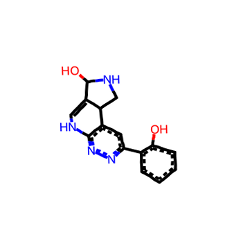 Oc1ccccc1-c1cc2c(nn1)NC=C1C(O)NCC12